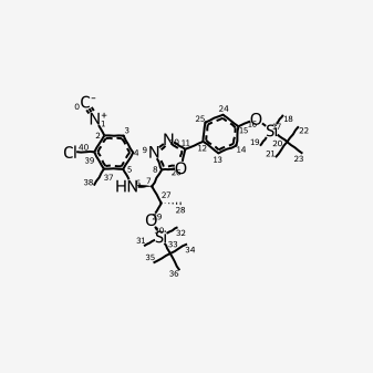 [C-]#[N+]c1ccc(N[C@@H](c2nnc(-c3ccc(O[Si](C)(C)C(C)(C)C)cc3)o2)[C@H](C)O[Si](C)(C)C(C)(C)C)c(C)c1Cl